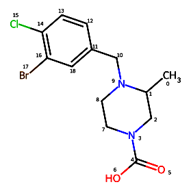 CC1CN(C(=O)O)CCN1Cc1ccc(Cl)c(Br)c1